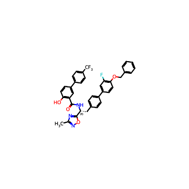 Cc1noc([C@@H](Cc2ccc(-c3ccc(OCc4ccccc4)c(F)c3)cc2)NC(=O)c2cc(-c3ccc(C(F)(F)F)cc3)ccc2O)n1